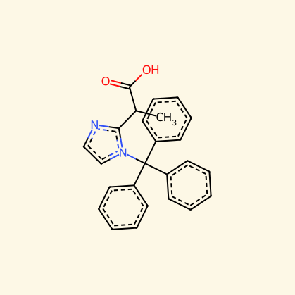 CC(C(=O)O)c1nccn1C(c1ccccc1)(c1ccccc1)c1ccccc1